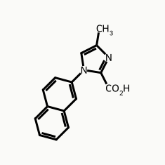 Cc1cn(-c2ccc3ccccc3c2)c(C(=O)O)n1